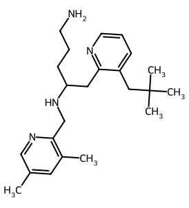 Cc1cnc(CNC(CCCN)Cc2ncccc2CC(C)(C)C)c(C)c1